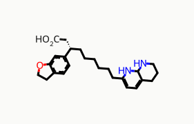 O=C(O)C[C@H](CCCCCCC1=CC=C2CCCNC2N1)c1ccc2c(c1)OCC2